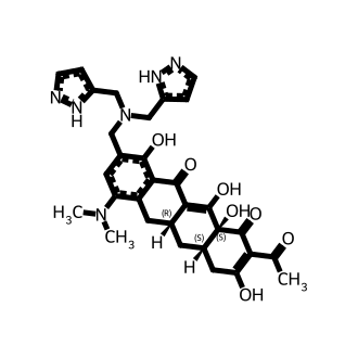 CC(=O)C1=C(O)C[C@@H]2C[C@@H]3Cc4c(N(C)C)cc(CN(Cc5ccn[nH]5)Cc5ccn[nH]5)c(O)c4C(=O)C3=C(O)[C@]2(O)C1=O